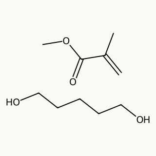 C=C(C)C(=O)OC.OCCCCCO